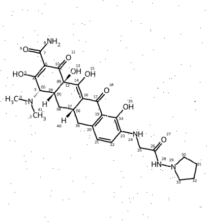 CN(C)[C@@H]1C(O)=C(C(N)=O)C(=O)[C@]2(O)C(O)=C3C(=O)c4c(ccc(NCC(=O)NN5CCCC5)c4O)C[C@@H]3C[C@H]12